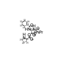 CC(C)S(=O)(=O)NC(NC(=O)c1ccccc1)C(=O)OC(=O)C1CCCN1